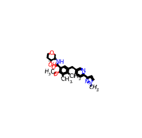 COc1c(C(=O)N[C@H]2COCC[C@@H]2O)cc(Cc2ccc(-c3ccn(C)n3)nc2)c(C)c1C